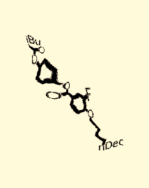 CCCCCCCCCCCCCCOc1ccc(C(=O)Oc2ccc(OC(=O)C[C@@H](C)CC)cc2)cc1F